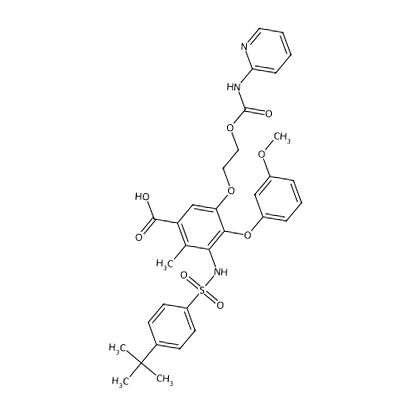 COc1cccc(Oc2c(OCCOC(=O)Nc3ccccn3)cc(C(=O)O)c(C)c2NS(=O)(=O)c2ccc(C(C)(C)C)cc2)c1